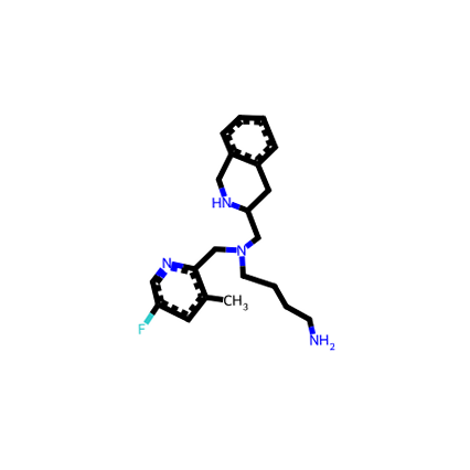 Cc1cc(F)cnc1CN(CCCCN)CC1Cc2ccccc2CN1